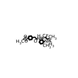 CCS(=O)(=O)c1ccc(CC(=O)Nc2ccc(C)c(NC(C(C)C)C(C)(F)F)c2)cc1